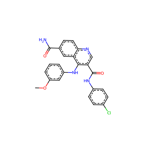 COc1cccc(Nc2c(C(=O)Nc3ccc(Cl)cc3)cnc3ccc(C(N)=O)cc23)c1